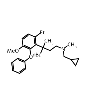 CCCCC(C)(CCN(C)CC1CC1)c1c(CC)ccc(OC)c1Oc1ccccc1